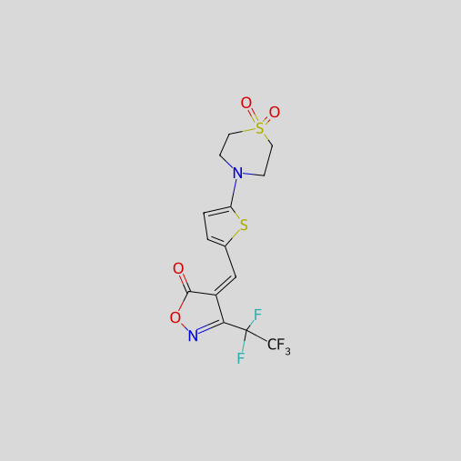 O=C1ON=C(C(F)(F)C(F)(F)F)C1=Cc1ccc(N2CCS(=O)(=O)CC2)s1